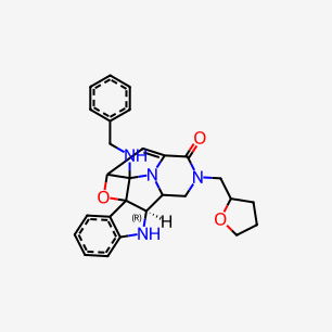 O=C1C2=CC3OC45c6ccccc6N[C@@H]4C(CN1CC1CCCO1)N2C35NCc1ccccc1